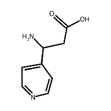 NC(CC(=O)O)c1ccncc1